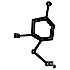 CCc1cc([O])ccc1OC(Cl)(Cl)Cl